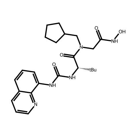 CC(C)(C)[C@H](NC(=O)Nc1cccc2cccnc12)C(=O)N(CC(=O)NO)CC1CCCC1